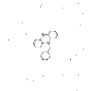 c1ccc(CN2c3ccccc3Sc3ccccc32)cc1